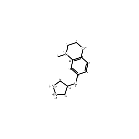 CN1CCOc2ccc(OC3CNNC3)cc21